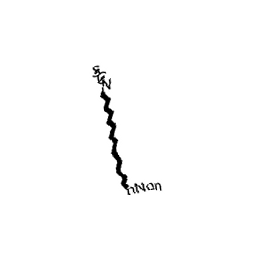 CCCCCCCCCCCCCCCCCCCCCCN=C=S